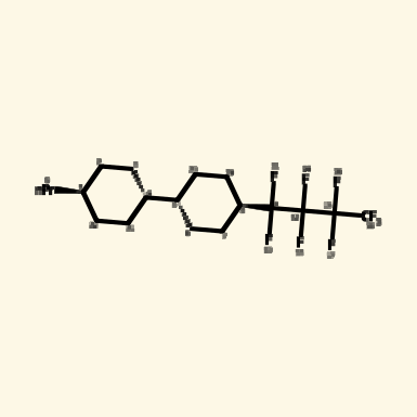 CCC[C@H]1CC[C@H]([C@H]2CC[C@H](C(F)(F)C(F)(F)C(F)(F)C(F)(F)F)CC2)CC1